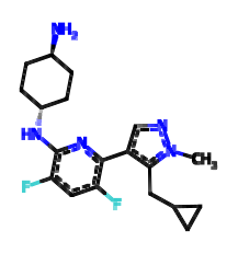 Cn1ncc(-c2nc(N[C@H]3CC[C@H](N)CC3)c(F)cc2F)c1CC1CC1